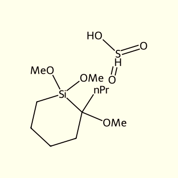 CCCC1(OC)CCCC[Si]1(OC)OC.O=[SH](=O)O